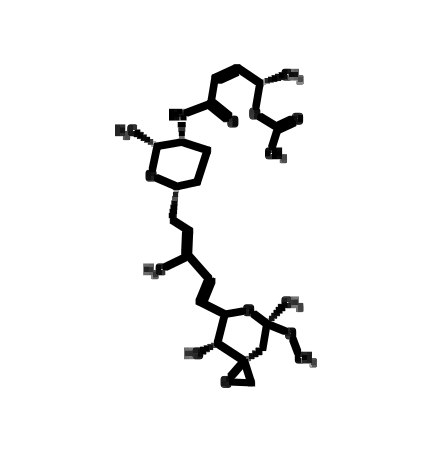 CO[C@@]1(C)C[C@@]2(CO2)[C@H](O)C(/C=C/C(C)=C/C[C@H]2CC[C@@H](NC(=O)/C=C\[C@H](C)OC(C)=O)[C@@H](C)O2)O1